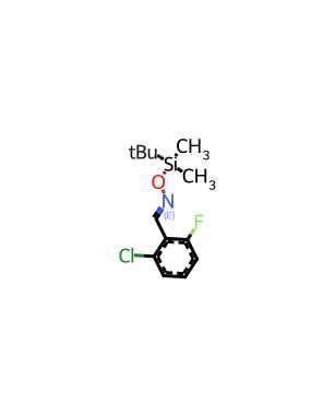 CC(C)(C)[Si](C)(C)O/N=C/c1c(F)cccc1Cl